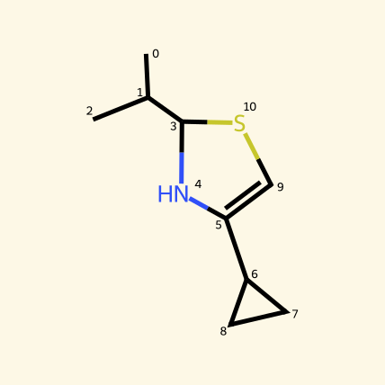 CC(C)C1NC(C2CC2)=CS1